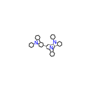 C1=C(c2ccc3c(c2)c2ccccc2n3-c2ccccc2)C=c2c3ccccc3c3n2C1C1C=3c2ccccc2N1c1ccccc1